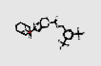 O=C(OCc1cc(C(F)(F)F)cc(C(F)(F)F)c1)N1CCn2nc(C(=O)N3C4CCCC3CCC4)cc2C1